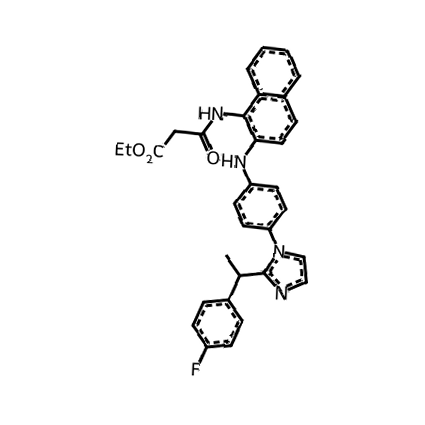 CCOC(=O)CC(=O)Nc1c(Nc2ccc(-n3ccnc3C(C)c3ccc(F)cc3)cc2)ccc2ccccc12